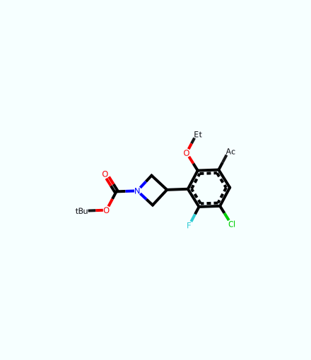 CCOc1c(C(C)=O)cc(Cl)c(F)c1C1CN(C(=O)OC(C)(C)C)C1